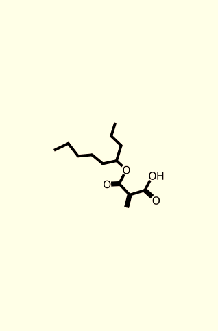 C=C(C(=O)O)C(=O)OC(CCC)CCCCC